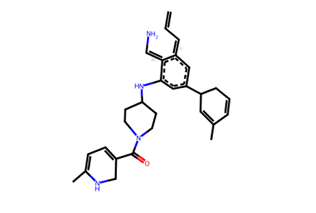 C=C/C=c1/cc(C2C=C(C)C=CC2)cc(NC2CCN(C(=O)C3=CC=C(C)NC3)CC2)/c1=C/N